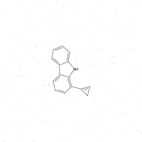 C1=C(c2cccc3c2[nH]c2ccccc23)C1